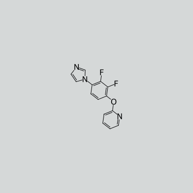 Fc1c(Oc2ccccn2)ccc(-n2ccnc2)c1F